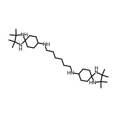 CC1(C)NC2(CCC(NCCCCCCNC3CCC4(CC3)NC(C)(C)C(C)(C)N4)CC2)NC1(C)C